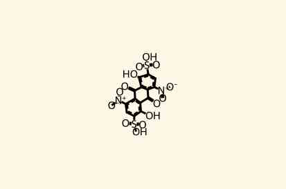 O=C1c2c([N+](=O)[O-])cc(S(=O)(=O)O)c(O)c2C(=O)c2c([N+](=O)[O-])cc(S(=O)(=O)O)c(O)c21